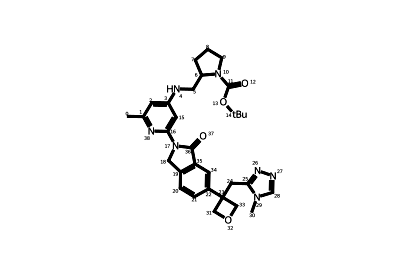 Cc1cc(NCC2CCCN2C(=O)OC(C)(C)C)cc(N2Cc3ccc(C4(Cc5nncn5C)COC4)cc3C2=O)n1